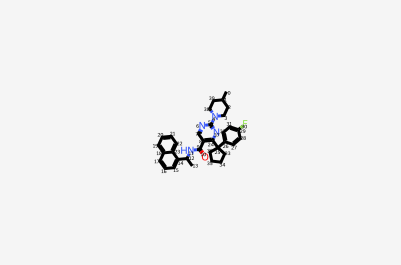 CC1CCN(c2ncc(C(=O)NC(C)c3cccc4ccccc34)c(C3(c4ccc(F)cc4)CCCC3)n2)CC1